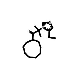 CCc1cncn1C(C)(C)C(=O)C1CCCCCCCC1